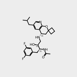 CC(=O)N[C@@H](Cc1cc(F)cc(F)c1)[C@@H](O)CN[C@H]1CC2(CCC2)Oc2ncc(CC(C)C)cc21